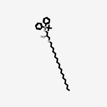 CCCCCCCCCCCCCCCCCCCOC[C@@H](O)CO[Si](c1ccccc1)(c1ccccc1)C(C)(C)C